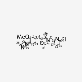 COc1cc(/C=C2\O[C@@H](C)CN(Cc3cccc(Cl)n3)C2=O)ccc1-n1cnc(C)c1